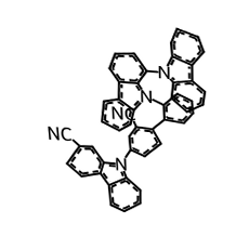 N#Cc1ccc2c3ccccc3n(-c3ccc(-c4ccccc4-n4c5ccccc5c5cccc(-n6c7ccccc7c7ccccc76)c54)c(C#N)c3)c2c1